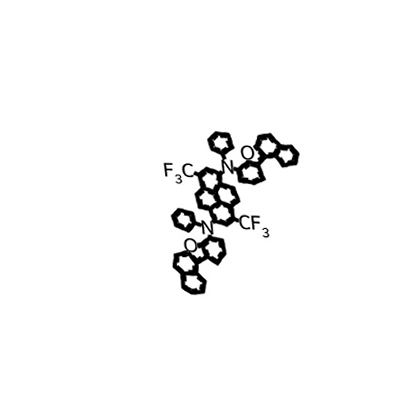 FC(F)(F)c1cc(N(c2ccccc2)c2cccc3c2oc2ccc4ccccc4c23)c2ccc3c(C(F)(F)F)cc(N(c4ccccc4)c4cccc5c4oc4ccc6ccccc6c45)c4ccc1c2c43